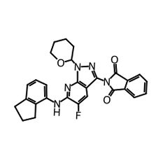 O=C1c2ccccc2C(=O)N1c1nn(C2CCCCO2)c2nc(Nc3cccc4c3CCC4)c(F)cc12